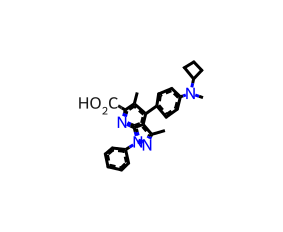 Cc1c(C(=O)O)nc2c(c(C)nn2-c2ccccc2)c1-c1ccc(N(C)C2CCC2)cc1